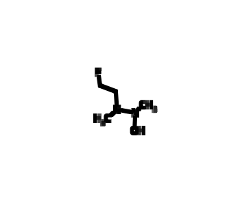 CN(O)N(C)CCF